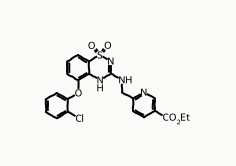 CCOC(=O)c1ccc(CNC2=NS(=O)(=O)c3cccc(Oc4ccccc4Cl)c3N2)nc1